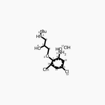 CC(C)(C)NCC(O)COc1c(N)cc(Cl)cc1Cl.Cl.Cl